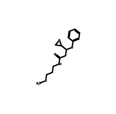 O=C(CC(Oc1ccccc1)C1CO1)NCCCO[N+](=O)[O-]